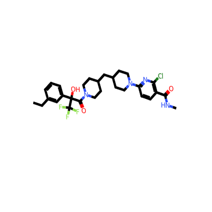 CCc1cccc(C(O)(C(=O)N2CCC(CC3CCN(c4ccc(C(=O)NC)c(Cl)n4)CC3)CC2)C(F)(F)F)c1